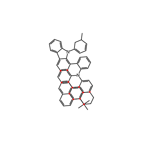 CC1C=CC=C(n2c3ccccc3c3cccc(-c4ccccc4N(c4ccccc4-c4ccc(C(C)(C)C)cc4)c4ccccc4-c4cccc5cccc(C6CCCCC6)c45)c32)C1